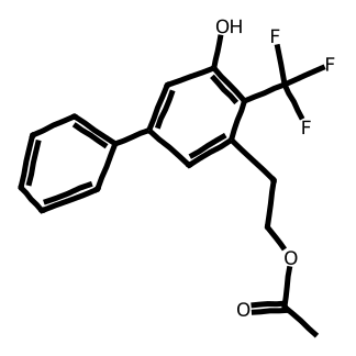 CC(=O)OCCc1cc(-c2ccccc2)cc(O)c1C(F)(F)F